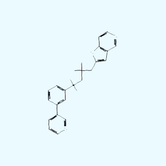 CC(C)(CC(O)(Cc1cc2cnccc2[nH]1)C(F)(F)F)c1cccc(-c2cccnc2)c1